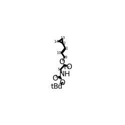 CC(C)(C)OC(=O)NCC(=O)OC/C=C/C1CC1